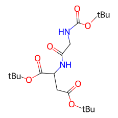 CC(C)(C)OC(=O)CC(NC(=O)CNC(=O)OC(C)(C)C)C(=O)OC(C)(C)C